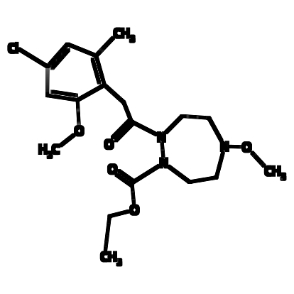 CCOC(=O)N1CCN(OC)CCN1C(=O)Cc1c(C)cc(Cl)cc1OC